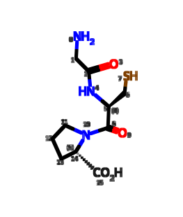 NCC(=O)N[C@@H](CS)C(=O)N1CCC[C@H]1C(=O)O